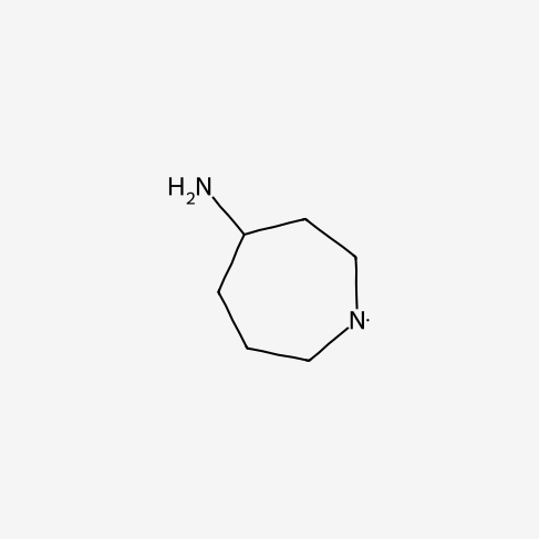 NC1CCC[N]CC1